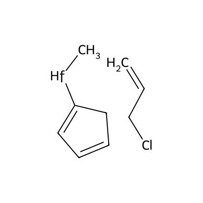 C=CCCl.[CH3][Hf][C]1=CC=CC1